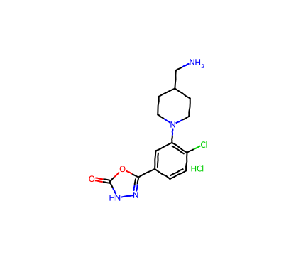 Cl.NCC1CCN(c2cc(-c3n[nH]c(=O)o3)ccc2Cl)CC1